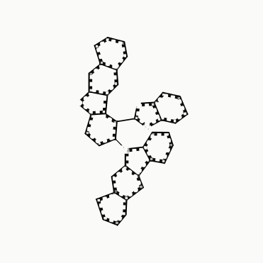 c1ccc2cc3c(cc2c1)sc1ccc(-n2c4ccccc4c4cc5ccccc5cc42)c(-c2nc4ccccc4s2)c13